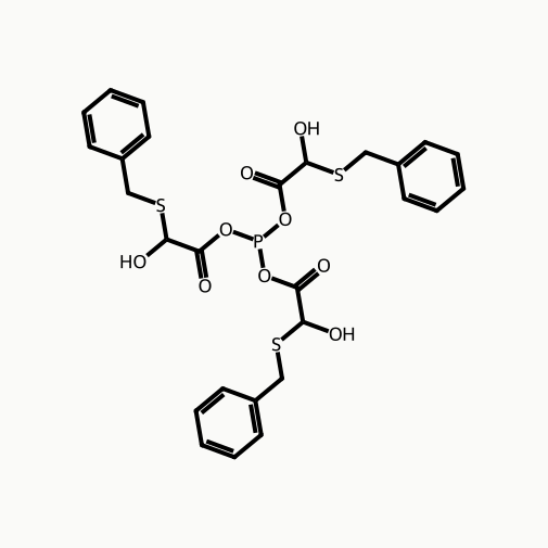 O=C(OP(OC(=O)C(O)SCc1ccccc1)OC(=O)C(O)SCc1ccccc1)C(O)SCc1ccccc1